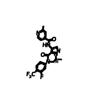 Cc1cc(C(=O)Nc2cnn3c2C(=O)N(c2ccc(C(F)(F)F)c(F)c2)C[C@@H]3C)ccn1